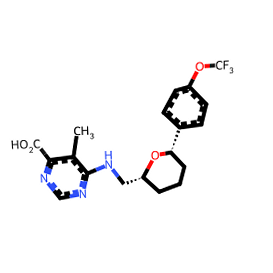 Cc1c(NC[C@H]2CCC[C@@H](c3ccc(OC(F)(F)F)cc3)O2)ncnc1C(=O)O